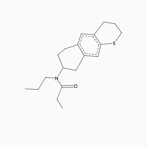 CCCN(C(=O)CC)C1CCc2cc3c(cc2C1)SCCC3